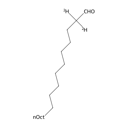 [2H]C([2H])(C=O)CCCCCCCCCCCCCCCC